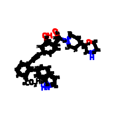 O=C(O)c1cccc(C#Cc2ccc(C(=O)N3CCC(C4CNCCO4)CC3)c(O)c2)c1-c1ccc2cc[nH]c2c1